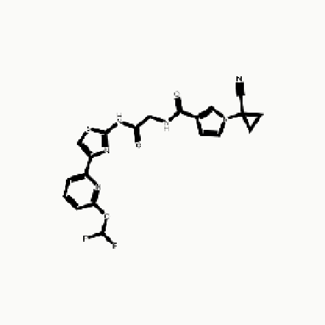 N#CC1(n2ccc(C(=O)NCC(=O)Nc3nc(-c4cccc(OC(F)F)n4)cs3)c2)CC1